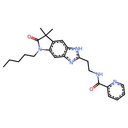 CCCCCN1C(=O)C(C)(C)c2cc3[nH]c(CCNC(=O)c4ccccn4)nc3cc21